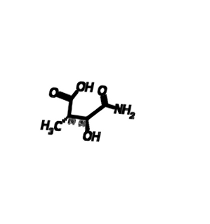 C[C@H](C(=O)O)[C@H](O)C(N)=O